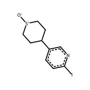 [O-][S+]1CCC(c2ccc(I)nc2)CC1